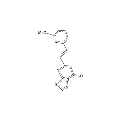 COc1cccc(/C=C/c2cc(=O)n3ncsc3n2)c1